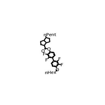 CCCCCCOc1ccc(-c2ccc(OC(=O)C3CCC4C(CCCCC)CCC34)c(F)c2F)c(F)c1F